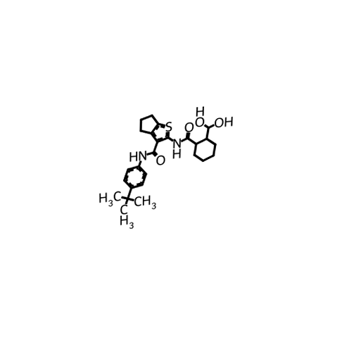 CC(C)(C)c1ccc(NC(=O)c2c(NC(=O)C3CCCCC3C(O)O)sc3c2CCC3)cc1